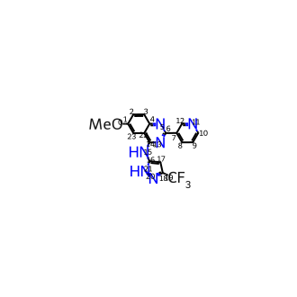 COc1ccc2nc(-c3cccnc3)nc(Nc3cc(C(F)(F)F)n[nH]3)c2c1